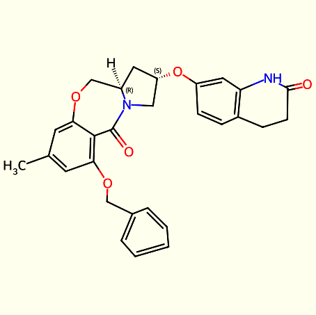 Cc1cc(OCc2ccccc2)c2c(c1)OC[C@H]1C[C@H](Oc3ccc4c(c3)NC(=O)CC4)CN1C2=O